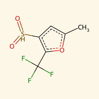 Cc1cc([SH](=O)=O)c(C(F)(F)F)o1